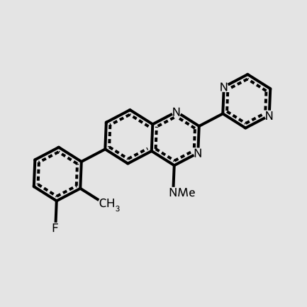 CNc1nc(-c2cnccn2)nc2ccc(-c3cccc(F)c3C)cc12